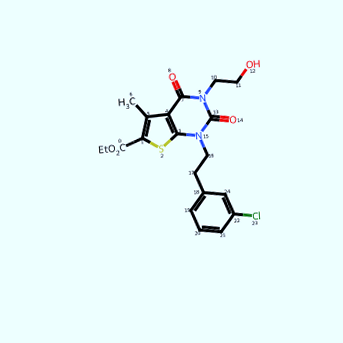 CCOC(=O)c1sc2c(c1C)c(=O)n(CCO)c(=O)n2CCc1cccc(Cl)c1